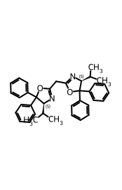 CC(C)[C@@H]1N=C(CC2=N[C@@H](C(C)C)C(c3ccccc3)(c3ccccc3)O2)OC1(c1ccccc1)c1ccccc1